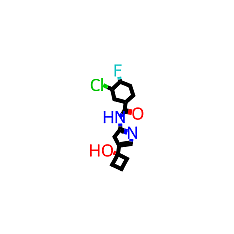 O=C(NC1=NC=C(C2(O)CCC2)C1)C1CCC(F)C(Cl)C1